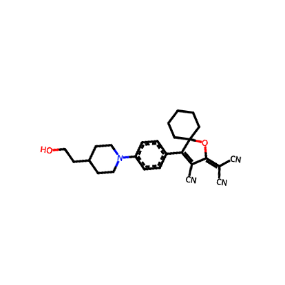 N#CC(C#N)=C1OC2(CCCCC2)C(c2ccc(N3CCC(CCO)CC3)cc2)=C1C#N